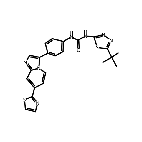 CC(C)(C)c1nnc(NC(=O)Nc2ccc(-c3cnc4cc(-c5nccs5)ccn34)cc2)s1